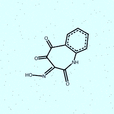 O=C1Nc2ccccc2C(=O)C(=O)C1=NO